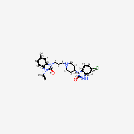 C=C(C)n1c(=O)n(CCCN2CCC(n3c(=O)[nH]c4cc(Cl)ccc43)CC2)c2cc(C)ccc21